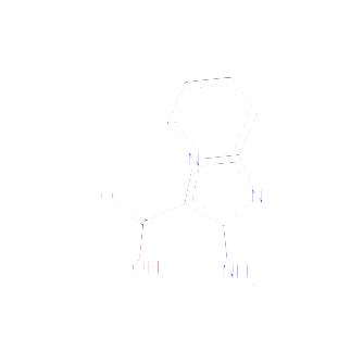 Nc1nc2ccccn2c1C(=O)O